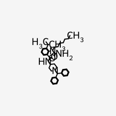 CCCCCCCN(C(N)=O)c1c(C(=O)NC2CCN(C(c3ccccc3)c3ccccc3)CC2)cccc1C(C)C